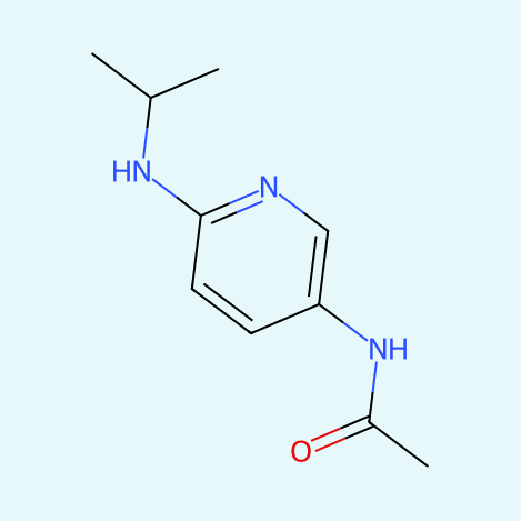 CC(=O)Nc1ccc(NC(C)C)nc1